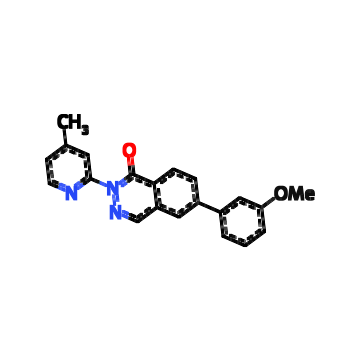 COc1cccc(-c2ccc3c(=O)n(-c4cc(C)ccn4)ncc3c2)c1